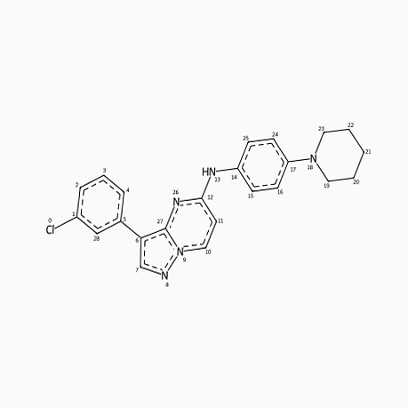 Clc1cccc(-c2cnn3ccc(Nc4ccc(N5CCCCC5)cc4)nc23)c1